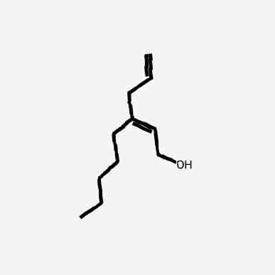 C=CCC(=CCO)CCCCC